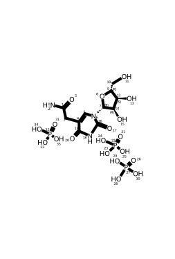 NC(=O)Cc1cn([C@@H]2O[C@H](CO)[C@@H](O)[C@H]2O)c(=O)[nH]c1=O.O=P(O)(O)O.O=P(O)(O)O.O=P(O)(O)O